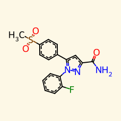 CS(=O)(=O)c1ccc(-c2cc(C(N)=O)nn2-c2ccccc2F)cc1